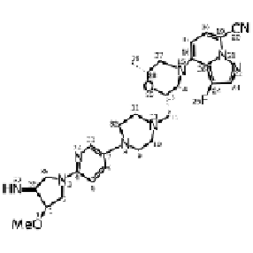 CO[C@@H]1CN(c2ccc(N3CCN(C[C@H]4CN(c5ccc(C#N)n6ncc(F)c56)C[C@@H](C)O4)CC3)cn2)CC1=N